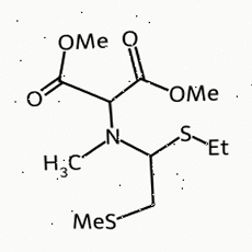 CCSC(CSC)N(C)C(C(=O)OC)C(=O)OC